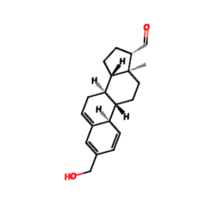 C[C@]12CC[C@H]3[C@@H](CC=C4C=C(CO)C=C[C@@H]43)[C@@H]1CC[C@@H]2C=O